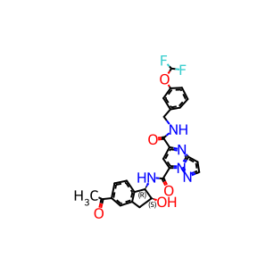 CC(=O)c1ccc2c(c1)C[C@H](O)[C@@H]2NC(=O)c1cc(C(=O)NCc2cccc(OC(F)F)c2)nc2ccnn12